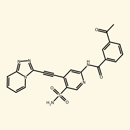 CC(=O)c1cccc(C(=O)Nc2cc(C#Cc3nnc4ccccn34)c(S(N)(=O)=O)cn2)c1